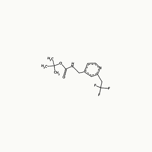 CC(C)(C)OC(=O)NCc1ccnc(CC(F)(F)F)c1